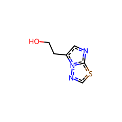 OCCc1cnc2scnn12